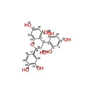 Oc1cc(O)c(C2c3c(O)cc(O)cc3O[C@H](c3ccc(O)c(O)c3)[C@H]2O)c(O)c1